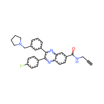 C#CCNC(=O)c1ccc2nc(-c3ccc(F)cc3)c(-c3cccc(CN4CCCC4)c3)nc2c1